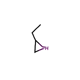 CCC1CP1